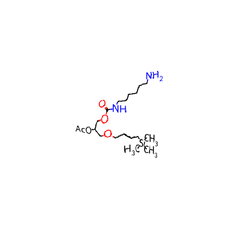 CC(=O)OC(COCCCC[Si](C)(C)C)COC(=O)NCCCCCCN